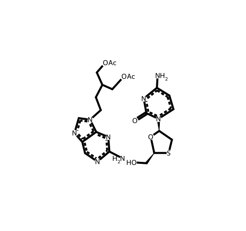 CC(=O)OCC(CCn1cnc2cnc(N)nc21)COC(C)=O.Nc1ccn([C@H]2CS[C@@H](CO)O2)c(=O)n1